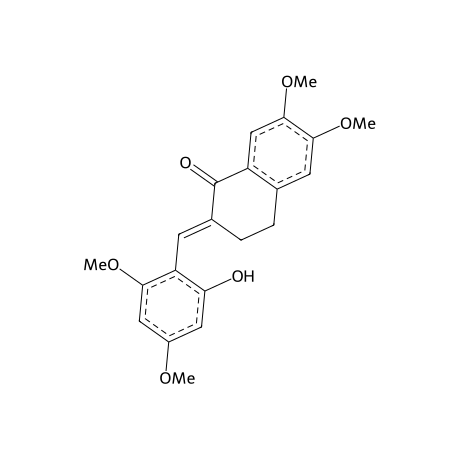 COc1cc(O)c(C=C2CCc3cc(OC)c(OC)cc3C2=O)c(OC)c1